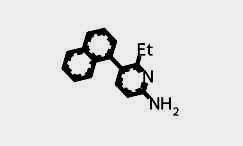 CCc1nc(N)ccc1-c1cccc2ccccc12